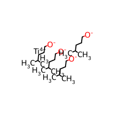 CC(C)CCC[O-].CC(C)CCC[O-].CC(C)CCC[O-].CC(C)CCC[O-].[Ti+4]